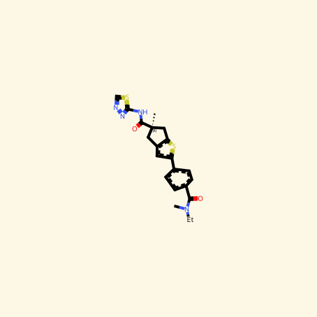 CCN(C)C(=O)c1ccc(-c2cc3c(s2)C[C@](C)(C(=O)Nc2nncs2)C3)cc1